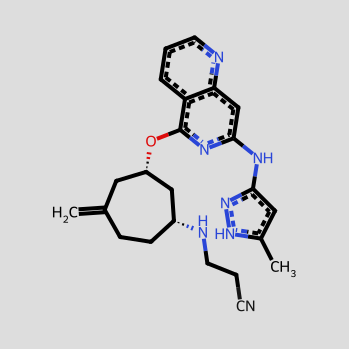 C=C1CC[C@@H](NCCC#N)C[C@@H](Oc2nc(Nc3cc(C)[nH]n3)cc3ncccc23)C1